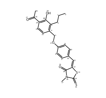 CCCc1c(COc2ccc(C=C3SC(=S)N(C)C3=O)cc2)ccc(C(C)=O)c1O